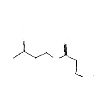 CCCCCCCC(=O)OCCC(C)O